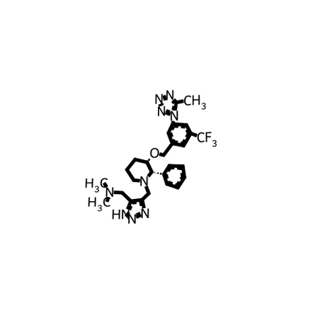 Cc1nnnn1-c1cc(CO[C@H]2CCCN(Cc3nn[nH]c3CN(C)C)[C@H]2c2ccccc2)cc(C(F)(F)F)c1